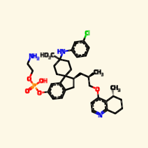 C[C@@H](COc1ccnc2c1[C@H](C)CCC2)C[C@H]1Cc2ccc(OP(=O)(O)OCCN)cc2C12CCC(Nc1cccc(Cl)c1)(C(=O)O)CC2